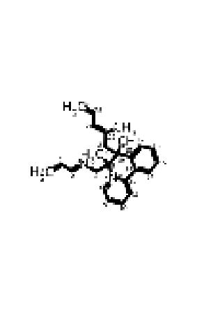 C=C/C=N/CC1(C)[n+]2ccccc2-c2ccccc2C1(C)C/C(C)=C/C=C